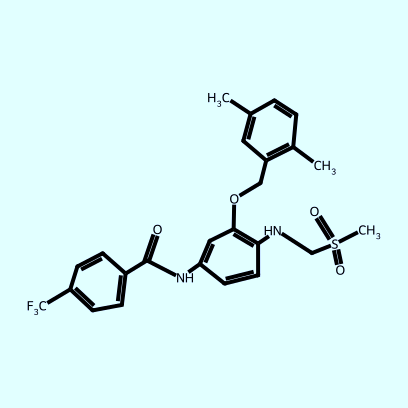 Cc1ccc(C)c(COc2cc(NC(=O)c3ccc(C(F)(F)F)cc3)ccc2NCS(C)(=O)=O)c1